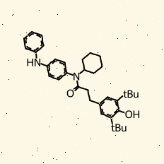 CC(C)(C)c1cc(CCC(=O)N(c2ccc(Nc3ccccc3)cc2)C2CCCCC2)cc(C(C)(C)C)c1O